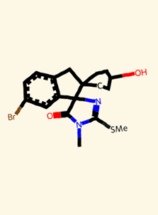 CSC1=NC2(C(=O)N1C)c1cc(Br)ccc1CC21CCC(O)CC1